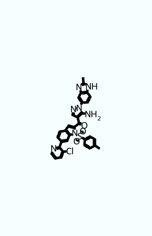 Cc1ccc(S(=O)(=O)n2c(C(=O)c3cnn(-c4ccc5[nH]c(C)nc5c4)c3N)cc3ccc(-c4ncccc4Cl)cc32)cc1